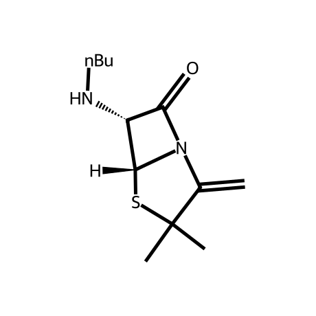 C=C1N2C(=O)[C@@H](NCCCC)[C@H]2SC1(C)C